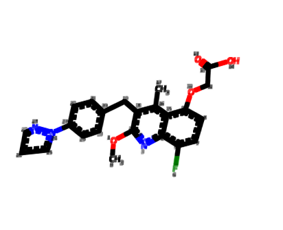 COc1nc2c(F)ccc(OCC(=O)O)c2c(C)c1Cc1ccc(-n2cccn2)cc1